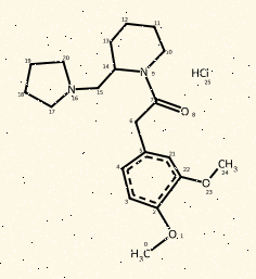 COc1ccc(CC(=O)N2CCCCC2CN2CCCC2)cc1OC.Cl